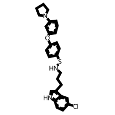 Clc1ccc2[nH]cc(CCCNSc3ccc(Oc4cccc(N5CCCC5)c4)cc3)c2c1